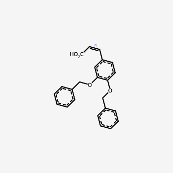 O=C(O)/C=C\c1ccc(OCc2ccccc2)c(OCc2ccccc2)c1